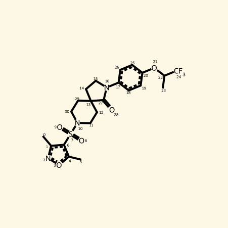 Cc1noc(C)c1S(=O)(=O)N1CCC2(CCN(c3ccc(OC(C)C(F)(F)F)cc3)C2=O)CC1